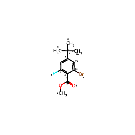 COC(=O)c1c(F)cc(C(C)(C)C)cc1Br